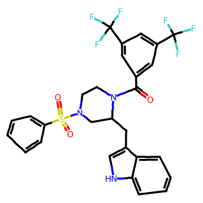 O=C(c1cc(C(F)(F)F)cc(C(F)(F)F)c1)N1CCN(S(=O)(=O)c2ccccc2)CC1Cc1c[nH]c2ccccc12